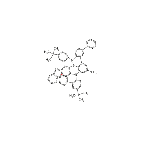 Cc1cc2c3c(c1)N(c1ccc(C(C)(C)C)cc1-c1ccccc1)c1cc4c(cc1B3N(c1ccc(C(C)(C)C)cc1)c1ccc(-c3ccccc3)cc1-2)oc1ccccc14